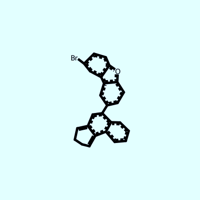 Brc1ccc2oc3ccc(-c4cc5c(c6ccccc46)=CCCC=5)cc3c2c1